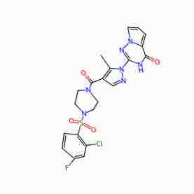 Cc1c(C(=O)N2CCN(S(=O)(=O)c3ccc(F)cc3Cl)CC2)cnn1-c1nn2cccc2c(=O)[nH]1